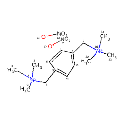 C[N+](C)(C)Cc1ccc(C[N+](C)(C)C)cc1.O=[N+]([O-])[O-].O=[N+]([O-])[O-]